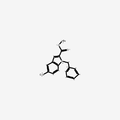 CCCCOC(=O)c1cc2cc([N+](=O)[O-])ccc2n1Cc1ccccc1